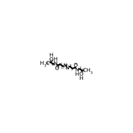 CC(O)CNC(=O)CCN=NCCC(=O)NCC(C)O